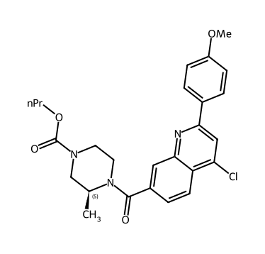 CCCOC(=O)N1CCN(C(=O)c2ccc3c(Cl)cc(-c4ccc(OC)cc4)nc3c2)[C@@H](C)C1